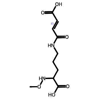 CONC(CCCNC(=O)/C=C/C(=O)O)C(=O)O